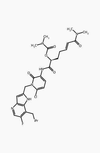 CC(C)Cc1c(F)cnc2cc(Cn3c(Cl)ccc(NC(=O)[C@H](CC/C=C/C(=O)N(C)C)OC(=O)N(C)C)c3=O)[nH]c12